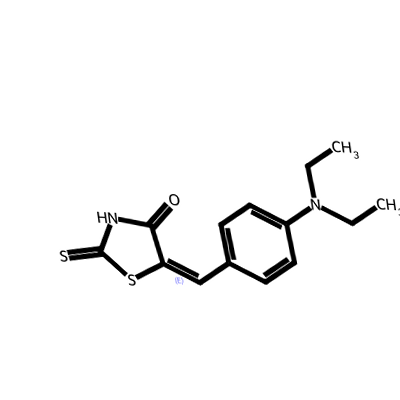 CCN(CC)c1ccc(/C=C2/SC(=S)NC2=O)cc1